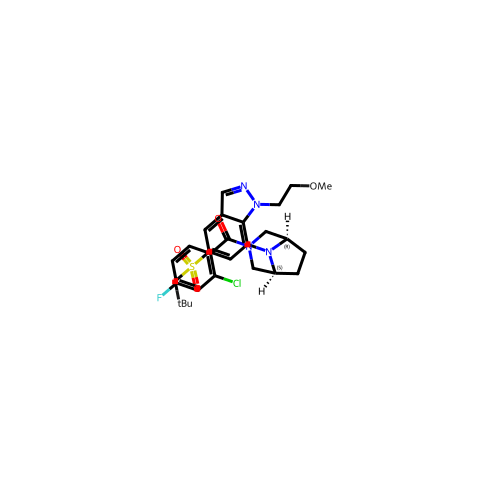 COCCn1ncc2cc(S(=O)(=O)CC(C)(C)C)cc(N3[C@@H]4CC[C@H]3CN(C(=O)c3ccc(F)cc3Cl)C4)c21